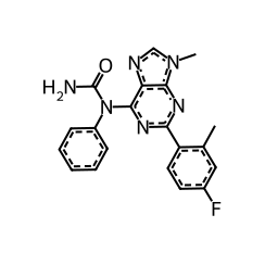 Cc1cc(F)ccc1-c1nc(N(C(N)=O)c2ccccc2)c2ncn(C)c2n1